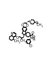 COC1CCN(C[C@H]2COc3cc4c(cc3O2)C2(CCC(Nc3cccc(Cl)c3)(C(=O)O)CC2)[C@@H](C[C@@H](C)COc2ccnc3c2[C@H](C)CCC3)C4)CC1